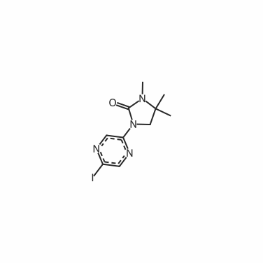 CN1C(=O)N(c2cnc(I)cn2)CC1(C)C